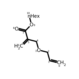 C=CCOCC(=C)C(=O)OCCCCCC